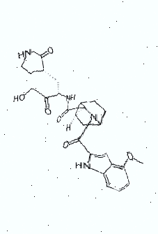 COc1cccc2[nH]c(C(=O)N3C4CCC(CC4)[C@@H]3C(=O)N[C@@H](C[C@@H]3CCNC3=O)C(=O)CO)cc12